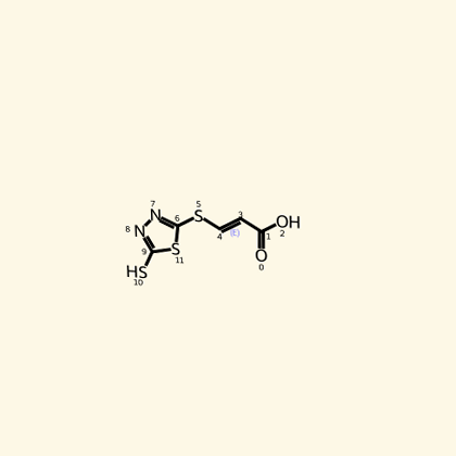 O=C(O)/C=C/Sc1nnc(S)s1